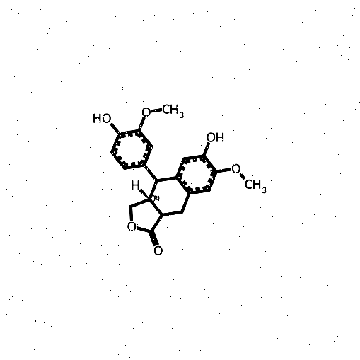 COc1cc(C2c3cc(O)c(OC)cc3CC3C(=O)OC[C@@H]32)ccc1O